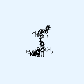 Cc1ccc([C@]23CC(O)[C@H](O)[C@](C(C)(C)O)(CO2)O3)cc1Cc1ccc(CCCC(=O)NC(C)(C)C(=O)NCCN2CCCC2)cc1